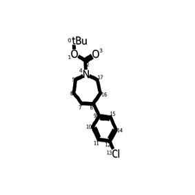 CC(C)(C)OC(=O)N1CCCC(c2ccc(Cl)cc2)CC1